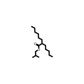 CCCCCCC(CCCCC)C(=O)OCC(C)C